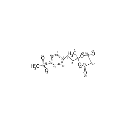 CC1(CCc2ccc(S(C)(=O)=O)cc2)OC(=O)CC(=O)O1